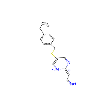 CCc1ccc(CSC2=CN/C(=C\C=N)N=C2)cc1